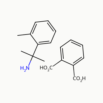 Cc1ccccc1C(C)(C)N.O=C(O)c1ccccc1C(=O)O